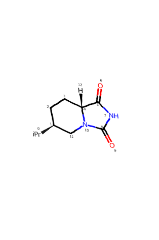 CC(C)[C@H]1CC[C@@H]2C(=O)NC(=O)N2C1